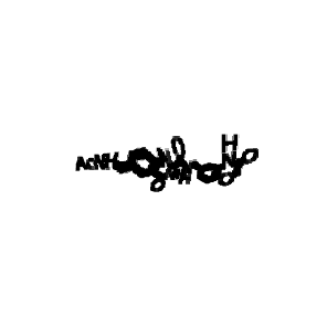 CC(=O)NCc1ccc2nc(C(=O)NCc3ccc4c(c3)NC(=O)CO4)[nH]c(=O)c2c1